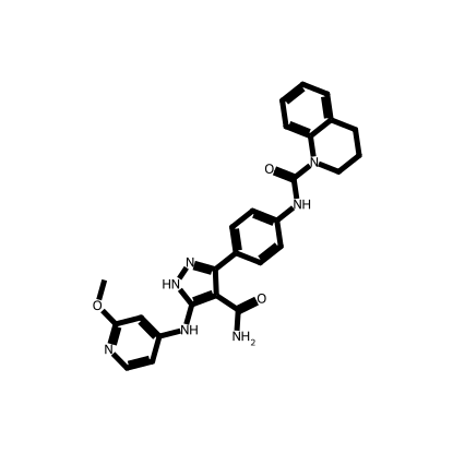 COc1cc(Nc2[nH]nc(-c3ccc(NC(=O)N4CCCc5ccccc54)cc3)c2C(N)=O)ccn1